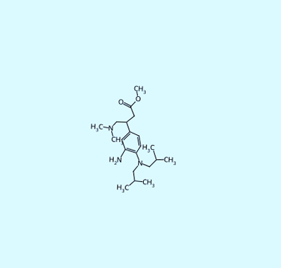 COC(=O)CC(CN(C)C)c1ccc(N(CC(C)C)CC(C)C)c(N)c1